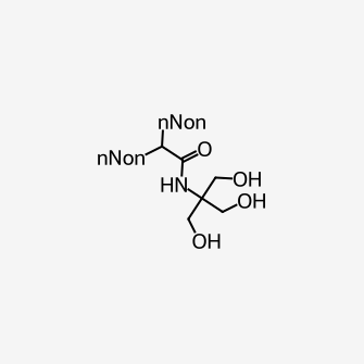 CCCCCCCCCC(CCCCCCCCC)C(=O)NC(CO)(CO)CO